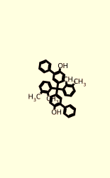 Cc1cccc(C(c2ccc(O)c(-c3ccccc3)c2)(c2ccc(O)c(-c3ccccc3)c2)c2cccc(C)c2C)c1C